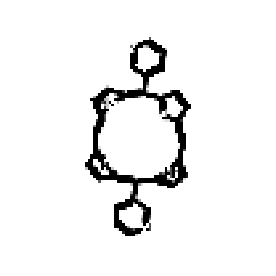 C1=Cc2nc1cc1ccc([nH]1)c(-c1cccnc1)c1nc(cc3ccc([nH]3)c2-c2cccnc2)C=C1